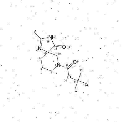 CC1=NC2(CCCN(C(=O)OC(C)(C)C)C2)C(=O)N1